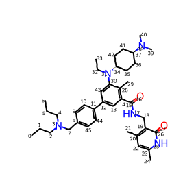 CCCN(CCC)Cc1ccc(-c2cc(C(=O)NCc3c(C)cc(C)[nH]c3=O)c(C)c(N(CC)[C@H]3CC[C@H](N(C)C)CC3)c2)cc1